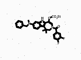 CCOC(=O)OC1=CN(C(=O)c2ccc(F)c(F)c2)CC(C)(C)c2c1[nH]c1cc(N(C)Cc3ccccc3)ccc21